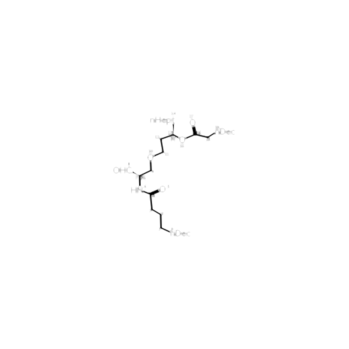 CCCCCCCCCCCCCC(=O)N[C@@H](C=O)COCC[C@@H](CCCCCCC)OC(=O)CCCCCCCCCCC